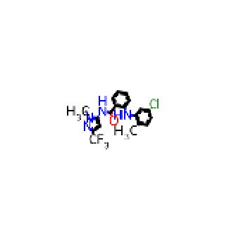 Cc1ccc(Cl)cc1Nc1ccccc1C(=O)Nc1cc(C(F)(F)F)nn1C